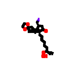 CCCCCCCC1(CC[C@H]2[C@H](CI)CC(=O)[C@@H]2CC=CCCCC(OO)C(C)C)OCCO1